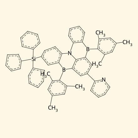 Cc1cc(C)c(B2c3ccccc3N3c4ccc([Si](c5ccccc5)(c5ccccc5)c5ccccc5)cc4B(c4c(C)cc(C)cc4C)c4cc(-c5ccccn5)cc2c43)c(C)c1